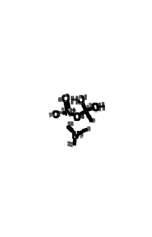 CC(O)(O)O[N+](=O)[O-].CN(C)C